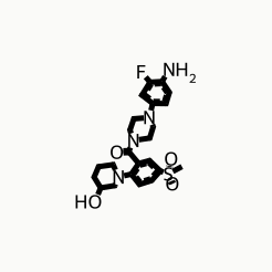 CS(=O)(=O)c1ccc(N2CCCC(O)C2)c(C(=O)N2CCN(c3ccc(N)c(F)c3)CC2)c1